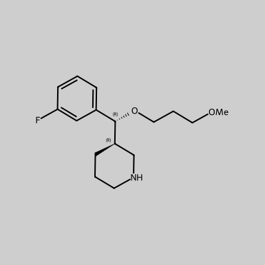 COCCCO[C@@H](c1cccc(F)c1)[C@@H]1CCCNC1